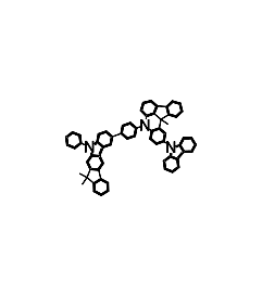 CC1(C)c2ccccc2-c2cc3c4cc(-c5ccc(N6c7ccc(-n8c9ccccc9c9ccccc98)cc7C7(C)c8ccccc8-c8cccc6c87)cc5)ccc4n(-c4ccccc4)c3cc21